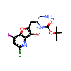 CC(C)(C)OC(=O)N[C@@H](CN)Cc1oc2c(I)cc(Cl)nc2c1Br